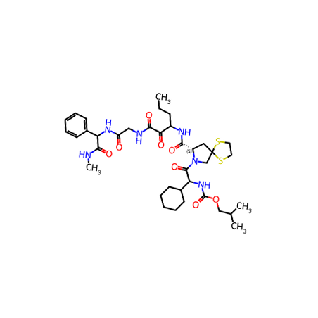 CCCC(NC(=O)[C@@H]1CC2(CN1C(=O)C(NC(=O)OCC(C)C)C1CCCCC1)SCCS2)C(=O)C(=O)NCC(=O)NC(C(=O)NC)c1ccccc1